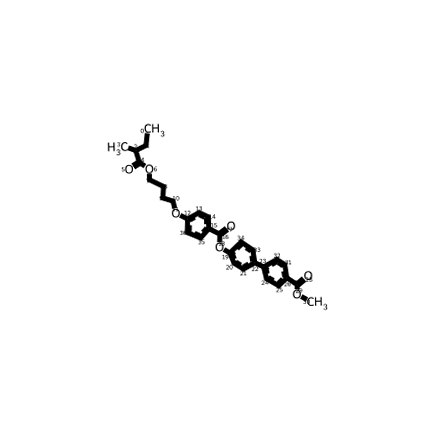 CCC(C)C(=O)OCCCCOc1ccc(C(=O)Oc2ccc(-c3ccc(C(=O)OC)cc3)cc2)cc1